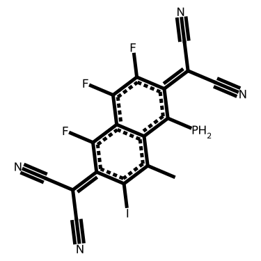 Cc1c(I)c(=C(C#N)C#N)c(F)c2c(F)c(F)c(=C(C#N)C#N)c(P)c12